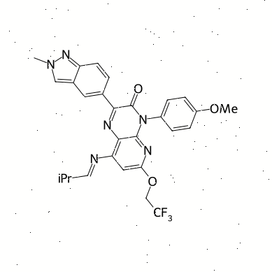 COc1ccc(-n2c(=O)c(-c3ccc4nn(C)cc4c3)nc3c(N=CC(C)C)cc(OCC(F)(F)F)nc32)cc1